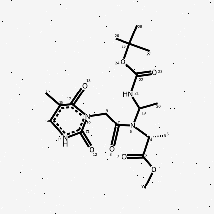 COC(=O)[C@@H](C)N(C(=O)Cn1c(=O)[nH]cc(C)c1=O)C(C)NC(=O)OC(C)(C)C